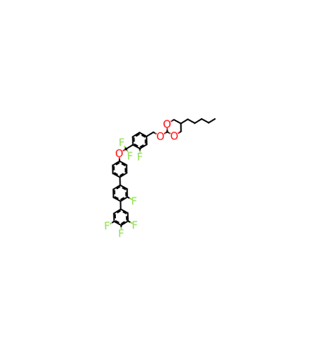 CCCCCC1COC(OCc2ccc(C(F)(F)Oc3ccc(-c4ccc(-c5cc(F)c(F)c(F)c5)c(F)c4)cc3)c(F)c2)OC1